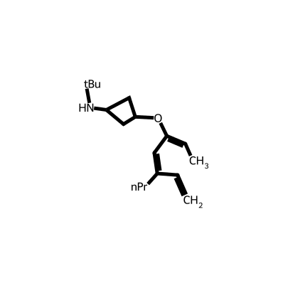 C=C/C(=C\C(=C/C)OC1CC(NC(C)(C)C)C1)CCC